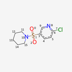 O=S(=O)(c1ccc(Cl)nc1)N1CC[CH]CC1